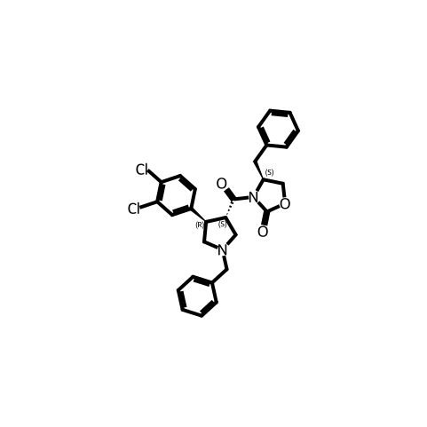 O=C1OC[C@H](Cc2ccccc2)N1C(=O)[C@@H]1CN(Cc2ccccc2)C[C@H]1c1ccc(Cl)c(Cl)c1